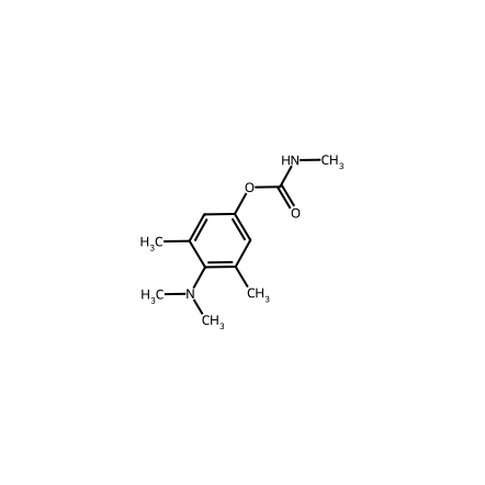 CNC(=O)Oc1cc(C)c(N(C)C)c(C)c1